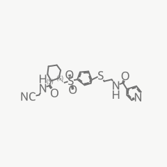 N#CCNC(=O)[C@H]1CCCC[C@@H]1CS(=O)(=O)c1ccc(SCCNC(=O)c2ccncc2)cc1